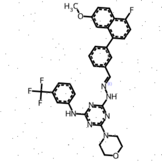 COc1ccc2c(F)ccc(-c3cccc(/C=N/Nc4nc(Nc5cccc(C(F)(F)F)c5)nc(N5CCOCC5)n4)c3)c2c1